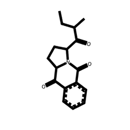 CCC(C)C(=O)C1CCC2C(=O)c3ccccc3C(=O)N21